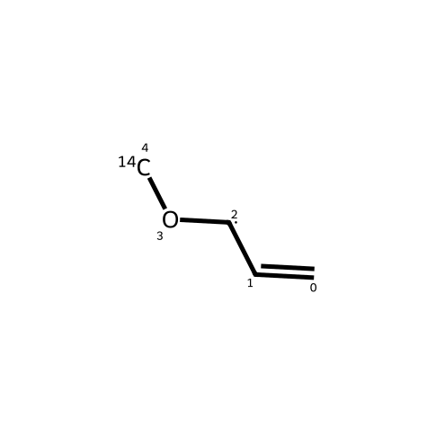 C=C[CH]O[14CH3]